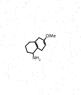 COC1=CCC2=C(CCCC2N)C1